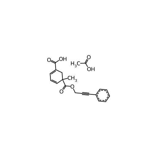 CC(=O)O.CC1(C(=O)OCC#Cc2ccccc2)C=CC=C(C(=O)O)C1